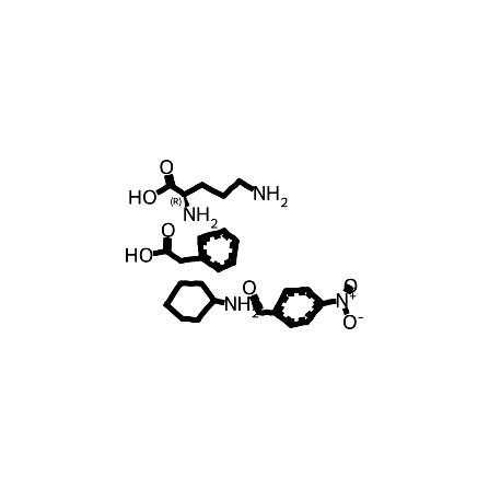 NC1CCCCC1.NCCC[C@@H](N)C(=O)O.O=C(O)Cc1ccccc1.O=Cc1ccc([N+](=O)[O-])cc1